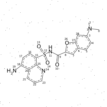 CN(C)c1ccc2cc(C(=O)NS(=O)(=O)c3ccc(N)c4cccnc34)oc2c1